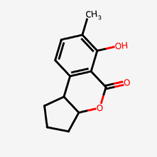 Cc1ccc2c(c1O)C(=O)OC1CCCC21